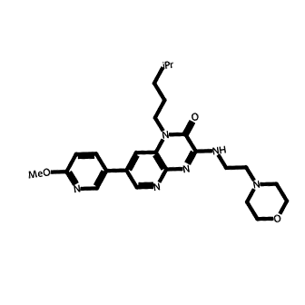 COc1ccc(-c2cnc3nc(NCCN4CCOCC4)c(=O)n(CCCC(C)C)c3c2)cn1